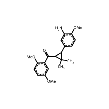 COc1ccc(OC)c(C(=O)C2C(c3ccc(OC)c(N)c3)C2(C)C)c1